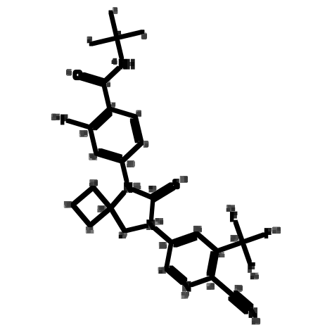 CC(C)(C)NC(=O)c1ccc(N2C(=S)N(c3cnc(C#N)c(C(F)(F)F)c3)CC23CCC3)cc1F